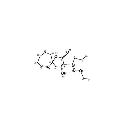 CCC/C(=N\OCC)C1=C(O)CC2(C=CCCCC2)OC1=O